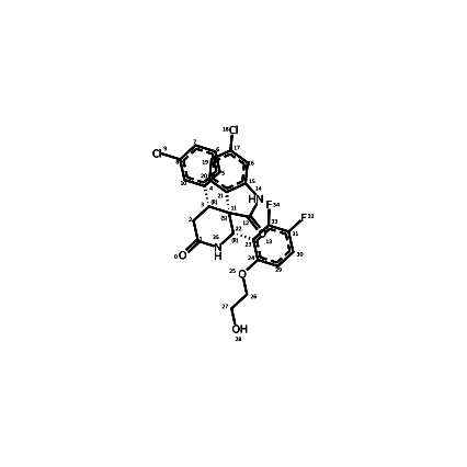 O=C1C[C@H](c2cccc(Cl)c2)[C@@]2(C(=O)Nc3cc(Cl)ccc32)[C@H](c2c(OCCO)ccc(F)c2F)N1